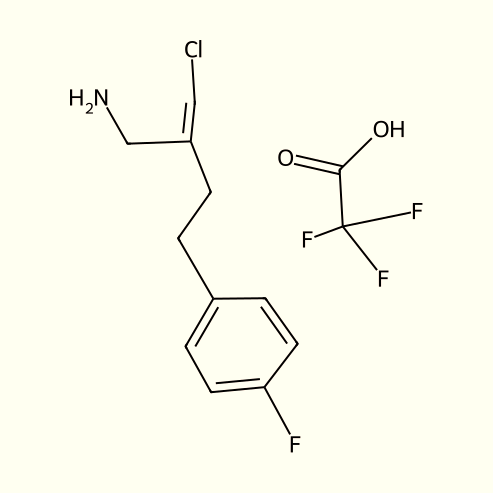 NC/C(=C\Cl)CCc1ccc(F)cc1.O=C(O)C(F)(F)F